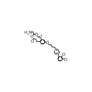 CN(COC(=O)CN)c1cc(OCCCCN2CCN(c3cccc(Cl)c3Cl)CC2)ccc1CCC=O